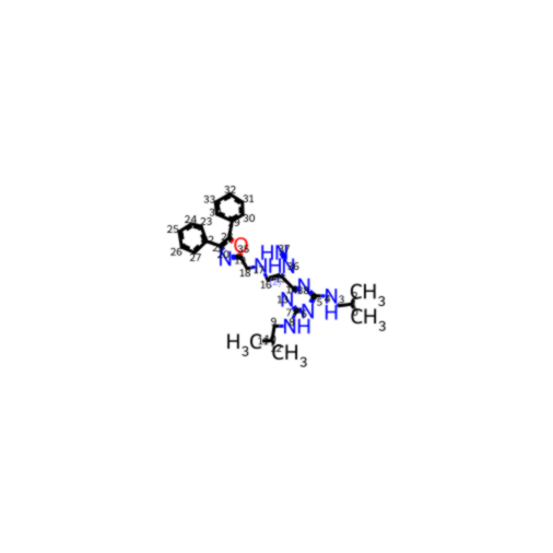 CC(C)CNc1nc(NCC(C)C)nc(/C(=C/NCc2nc(-c3ccccc3)c(-c3ccccc3)o2)N=N)n1